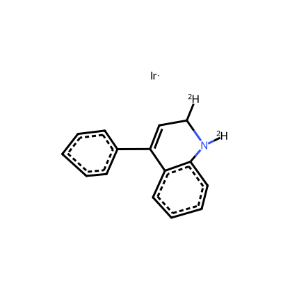 [2H]C1C=C(c2ccccc2)c2ccccc2N1[2H].[Ir]